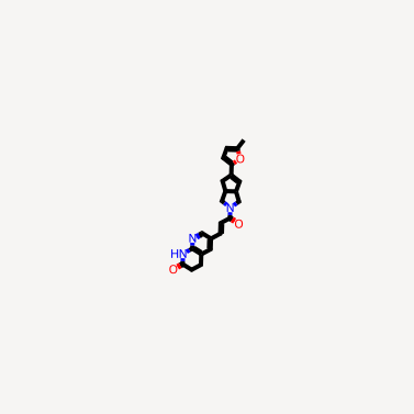 Cc1ccc(C2=CC3CN(C(=O)/C=C/c4cnc5c(c4)CCC(=O)N5)CC3C2)o1